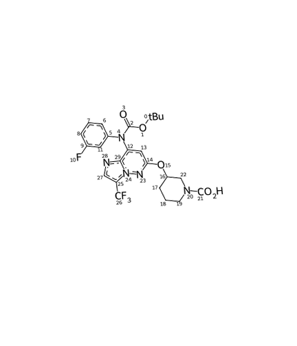 CC(C)(C)OC(=O)N(c1cccc(F)c1)c1cc(OC2CCCN(C(=O)O)C2)nn2c(C(F)(F)F)cnc12